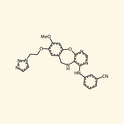 COc1cc2c(cc1OCCn1ccnn1)CNc1c(Nc3cccc(C#N)c3)ncnc1O2